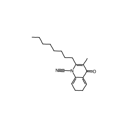 CCCCCCCCc1c(C)c(=O)c2c(n1C#N)=CCCC=2